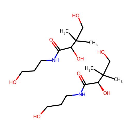 CC(C)(CO)C(O)C(=O)NCCCO.CC(C)(CO)[C@@H](O)C(=O)NCCCO